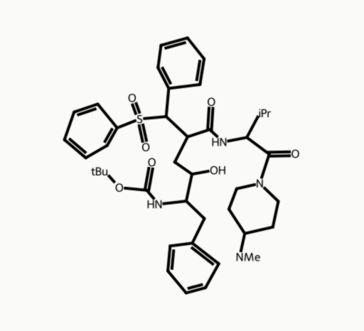 CNC1CCN(C(=O)C(NC(=O)C(CC(O)C(Cc2ccccc2)NC(=O)OC(C)(C)C)C(c2ccccc2)S(=O)(=O)c2ccccc2)C(C)C)CC1